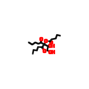 CCCCC(=O)OC(C(=O)CCCC)(C(=O)CCCC)C(O)CO